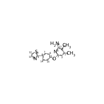 Cc1cc(Oc2ccc(-c3nccs3)cc2)nc(N)c1C